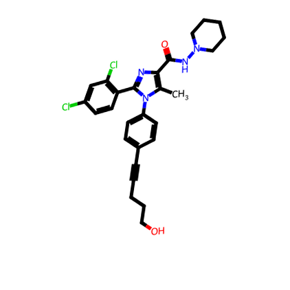 Cc1c(C(=O)NN2CCCCC2)nc(-c2ccc(Cl)cc2Cl)n1-c1ccc(C#CCCCO)cc1